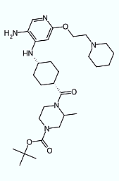 CC1CN(C(=O)OC(C)(C)C)CCN1C(=O)[C@H]1CC[C@@H](Nc2cc(OCCN3CCCCC3)ncc2N)CC1